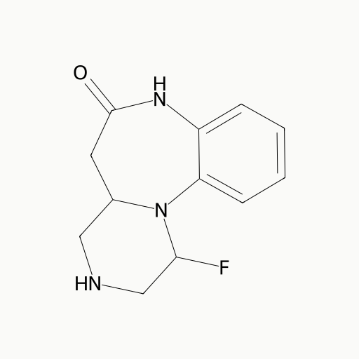 O=C1CC2CNCC(F)N2c2ccccc2N1